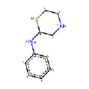 c1ccc(NC2CNCCS2)cc1